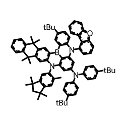 Cc1cc2c(cc1N1c3cc4c(cc3B3c5cc(C(C)(C)C)ccc5N(c5cccc6oc7ccccc7c56)c5cc(N(c6ccc(C(C)(C)C)cc6)c6ccc(C(C)(C)C)cc6)cc1c53)C(C)(C)c1ccccc1C4(C)C)C(C)(C)CC2(C)C